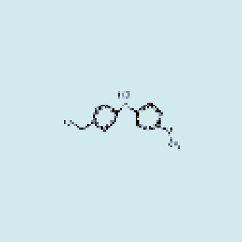 Cl.NCc1ccc(Oc2ccc(OC(F)(F)F)cc2)cc1